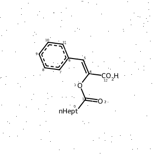 CCCCCCCC(=O)OC(=Cc1ccccc1)C(=O)O